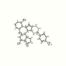 CCc1cccc(CC)c1-n1nc2c(c1-c1ccc(Cl)c3[nH]ccc13)CN(c1cnc(C(F)(F)F)cn1)CC2